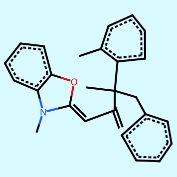 C=C(/C=C1\Oc2ccccc2N1C)C(C)(Cc1ccccc1)c1ccccc1C